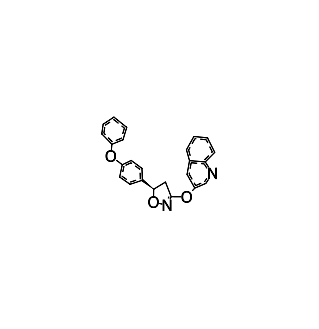 c1ccc(Oc2ccc([C@H]3CC(Oc4cnc5ccccc5c4)=NO3)cc2)cc1